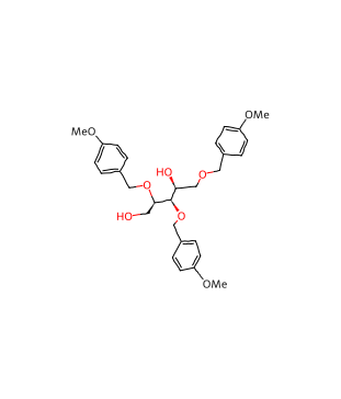 COc1ccc(COC[C@H](O)[C@@H](OCc2ccc(OC)cc2)[C@@H](CO)OCc2ccc(OC)cc2)cc1